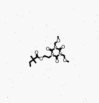 CCC(C)(C)C(=O)OCCn1c(=O)n(COC)c(=O)n(COC)c1=O